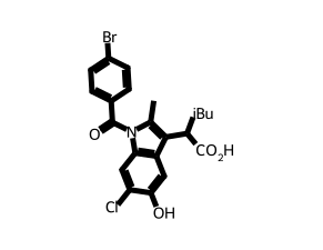 CCC(C)C(C(=O)O)c1c(C)n(C(=O)c2ccc(Br)cc2)c2cc(Cl)c(O)cc12